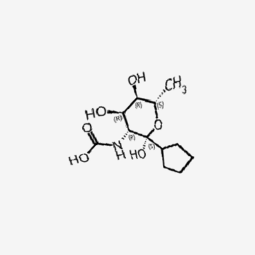 C[C@@H]1O[C@@](O)(C2CCCC2)[C@H](NC(=O)O)[C@@H](O)[C@H]1O